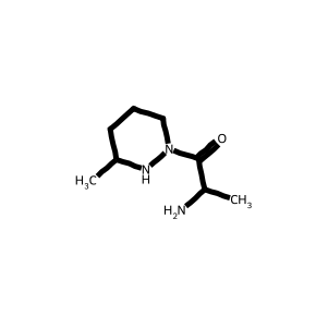 CC1CCCN(C(=O)C(C)N)N1